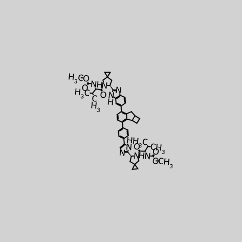 COC(=O)N[C@H](C(=O)N1CC2(CC2)C[C@H]1c1ncc(-c2ccc(-c3ccc(-c4ccc5nc([C@@H]6CC7(CC7)CN6C(=O)[C@@H](NC(=O)OC)C(C)C)[nH]c5c4)c4c3C3CCC3C4)cc2)[nH]1)C(C)C